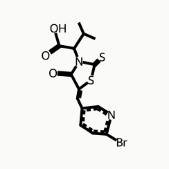 CC(C)C(C(=O)O)N1C(=O)C(=Cc2ccc(Br)nc2)SC1=S